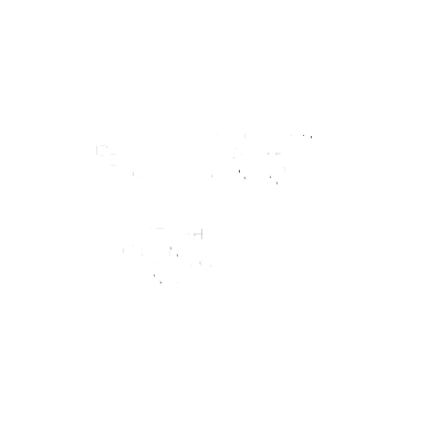 Br.[2H]C([2H])(c1ccc(-c2ccccc2S(=O)(=O)Nc2noc(C)c2Cl)c(COCC)c1)N1C(=O)C2(CCCC2)N=C1CCCC